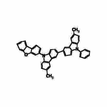 Cc1ccc2c(c1)c1cc(-c3ccc4c(c3)c3cc(C)ccc3n4-c3ccc4c(c3)oc3ccccc34)ccc1n2-c1ccccc1